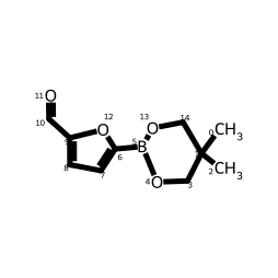 CC1(C)COB(c2ccc(C=O)o2)OC1